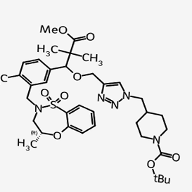 COC(=O)C(C)(C)C(OCc1cn(CC2CCN(C(=O)OC(C)(C)C)CC2)nn1)c1ccc(C)c(CN2C[C@@H](C)Oc3ccccc3S2(=O)=O)c1